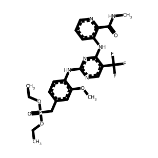 CCOP(=O)(Cc1ccc(Nc2ncc(C(F)(F)F)c(Nc3cccnc3C(=O)NC)n2)c(OC)c1)OCC